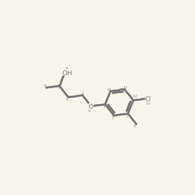 Cc1cc(OCCC(C)O)ccc1Cl